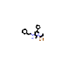 C=C1C(NCCC2CCCCC2)=CC(C2CCCC2)=CN1/C(S)=C\C